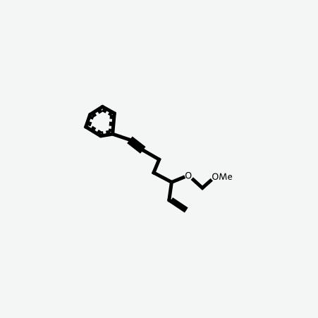 C=CC(CCC#Cc1ccccc1)OCOC